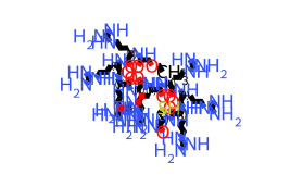 CCOCC(=O)N[C@H](CCCNC(=N)N)C(=O)N[C@H](CCCNC(=N)N)C(=O)N[C@H](CCCNC(=N)N)C(=O)N[C@H](CCCNC(=N)N)C(=O)N[C@H](CCCNC(=N)N)C(=O)N[C@H](CCCNC(=N)N)C(=O)N[C@H](CCCNC(=N)N)C(=O)N[C@H](CCCNC(=N)N)C(=O)N[C@H](CS)C(N)=O